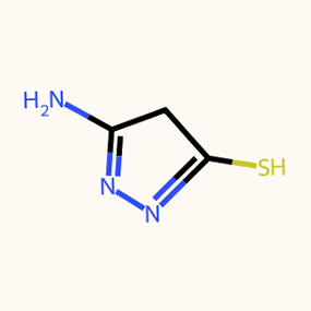 NC1=NN=C(S)C1